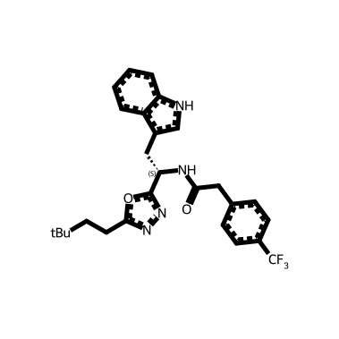 CC(C)(C)CCc1nnc([C@H](Cc2c[nH]c3ccccc23)NC(=O)Cc2ccc(C(F)(F)F)cc2)o1